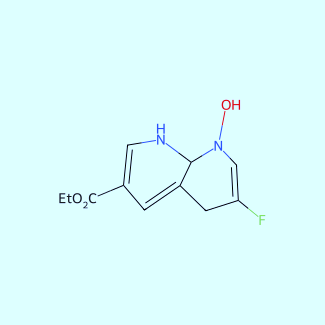 CCOC(=O)C1=CNC2C(=C1)CC(F)=CN2O